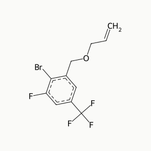 C=CCOCc1cc(C(F)(F)F)cc(F)c1Br